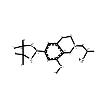 COc1cc(B2OC(C)(C)C(C)(C)O2)cc2c1CN(CC(C)O)CC2